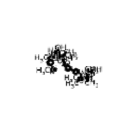 Cc1ncsc1-c1ccc([C@H](C)NC(=O)[C@@H]2C[C@@H](O)CN2C(=O)[C@@H](NC(=O)c2cc3ccc(-c4ccc(C5=N[C@@H](C(C)C(=O)O)c6nnc(C)n6-c6sc(C)c(C)c65)cc4)cc3o2)C(C)(C)C)cc1